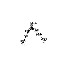 CC(=O)NC1CCN(c2nc(N3CCC(NC(=O)CCCCCNC(=O)CCCCC4SCC5NC(=O)NC54)CC3)nc(N3CCC(NC(=O)CCCCCNC(=O)CCCCC4SCC5NC(=O)NC54)CC3)n2)CC1